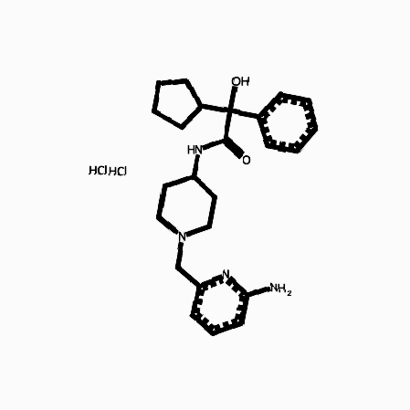 Cl.Cl.Nc1cccc(CN2CCC(NC(=O)C(O)(c3ccccc3)C3CCCC3)CC2)n1